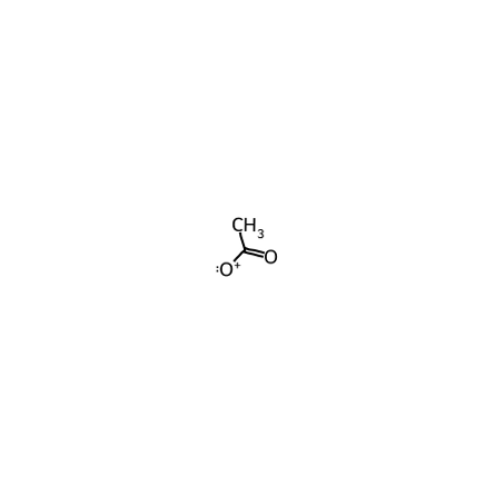 CC(=O)[O+]